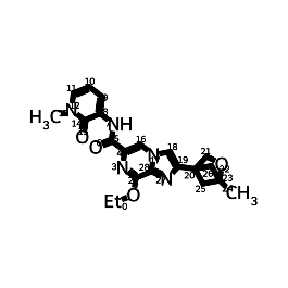 CCOc1nc(C(=O)Nc2cccn(C)c2=O)cn2cc(C34COC(C)(C3)C4)nc12